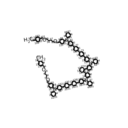 C=Cc1ccc(COCCCCOCc2ccc(N(c3ccccc3)c3ccc(-c4ccc(-c5ccc(-c6ccc(N(c7ccccc7)c7cccc(C8=C(c9cccc(N(c%10ccccc%10)c%10ccc(-c%11ccc(-c%12ccc(-c%13ccc(N(c%14ccccc%14)c%14ccc(COCCCCOCc%15ccc(C=C)cc%15)cc%14)cc%13)cc%12)cc%11)cc%10)c9)CCCC8)c7)cc6)cc5)cc4)cc3)cc2)cc1